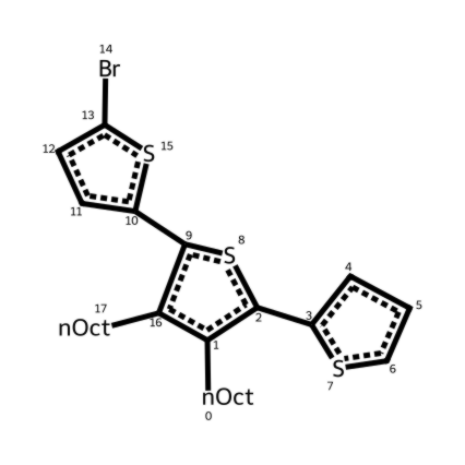 CCCCCCCCc1c(-c2cccs2)sc(-c2ccc(Br)s2)c1CCCCCCCC